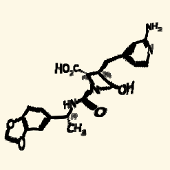 C[C@@H](NC(=O)N1C(O)[C@H](Cc2ccnc(N)c2)[C@H]1C(=O)O)c1ccc2c(c1)OCO2